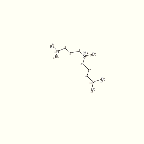 CCN(CC)CC[CH2][SnH]([CH2]C)[CH2]CCN(CC)CC